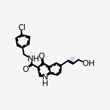 O=C(NCc1ccc(Cl)cc1)c1c[nH]c2ccc(/C=C/CO)cc2c1=O